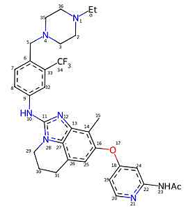 CCN1CCN(Cc2ccc(Nc3nc4c(C)c(Oc5ccnc(NC(C)=O)c5)cc5c4n3CCC5)cc2C(F)(F)F)CC1